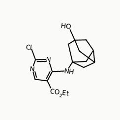 CCOC(=O)c1cnc(Cl)nc1NC12CC3CC(O)(CC3C1)C2